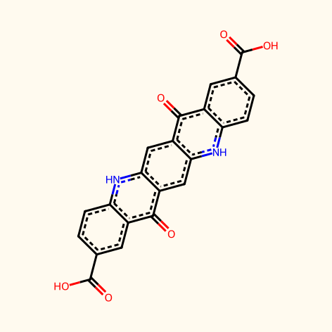 O=C(O)c1ccc2[nH]c3cc4c(=O)c5cc(C(=O)O)ccc5[nH]c4cc3c(=O)c2c1